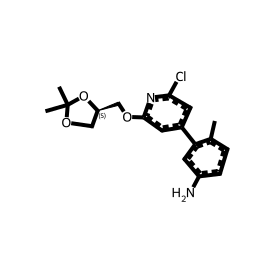 Cc1ccc(N)cc1-c1cc(Cl)nc(OC[C@H]2COC(C)(C)O2)c1